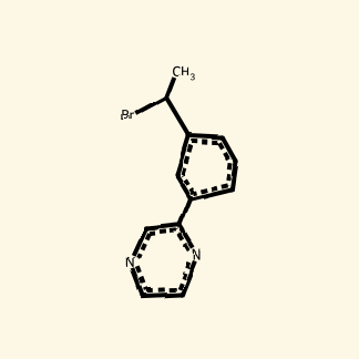 CC(Br)c1cccc(-c2cnccn2)c1